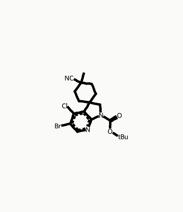 CC1(C#N)CCC2(CC1)CN(C(=O)OC(C)(C)C)c1ncc(Br)c(Cl)c12